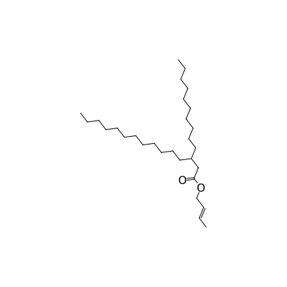 CC=CCOC(=O)CC(CCCCCCCCCC)CCCCCCCCCCCC